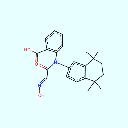 CC1(C)CCC(C)(C)c2cc(N(C(=O)C=NO)c3ccccc3C(=O)O)ccc21